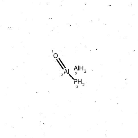 [AlH3].[O]=[Al][PH2]